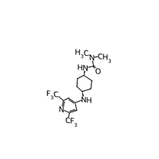 CN(C)C(=O)N[C@H]1CC[C@@H](Nc2cc(C(F)(F)F)nc(C(F)(F)F)c2)CC1